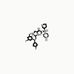 CC/C(CC[C@H]1CNCCN1S(=O)(=O)c1cccnc1)=C(\C=N)NC(=O)C[C@@H](c1ccc(F)cc1)c1cc(C)cc(F)c1